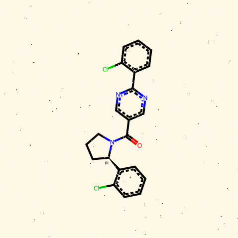 O=C(c1cnc(-c2ccccc2Cl)nc1)N1CCC[C@@H]1c1ccccc1Cl